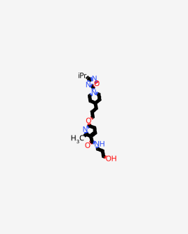 CC1=NC(OCCCC2CCN(c3nc(C(C)C)no3)CC2)CC=C1C(=O)NCCCO